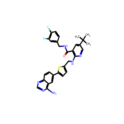 CC(C)(C)c1cnc(NCc2ccc(-c3ccc4ncnc(N)c4c3)s2)c(C(=O)NCc2ccc(F)c(F)c2)c1